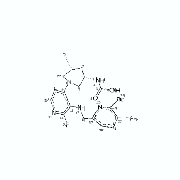 C[C@@H]1C[C@H](NC(=O)O)CN(c2ccnc(F)c2NCc2ccc(F)c(Br)n2)C1